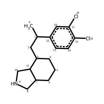 CC(CC1CCCC2CNCC21)c1ccc(Cl)c(Cl)c1